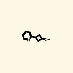 OC1CC(c2ccccn2)C1